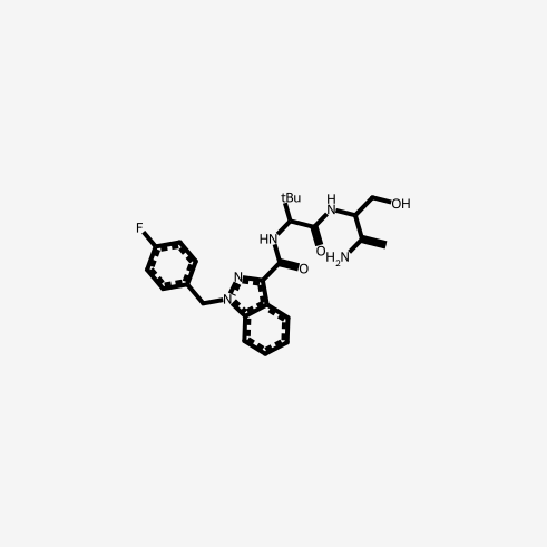 C=C(N)C(CO)NC(=O)C(NC(=O)c1nn(Cc2ccc(F)cc2)c2ccccc12)C(C)(C)C